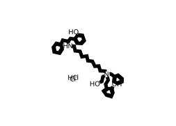 Cl.OCC[N+](CCCCCCCCCCCNC(Cc1ccccc1)Cc1ccccc1O)(CCc1ccccc1O)Cc1ccccc1.[Cl-]